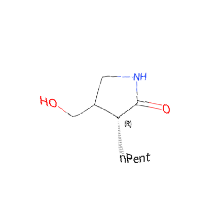 CCCCC[C@H]1C(=O)NCC1CO